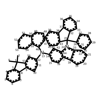 CC1(C)c2ccccc2-c2ccc(N(c3ccc4c5ccccc5n(C5(c6ccccc6)c6ccccc6-c6ccccc65)c4c3)c3cccc4ccccc34)cc21